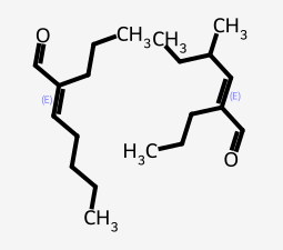 CCC/C(C=O)=C\C(C)CC.CCCC/C=C(/C=O)CCC